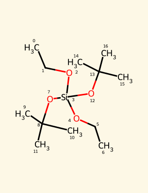 CCO[Si](OCC)(OC(C)(C)C)OC(C)(C)C